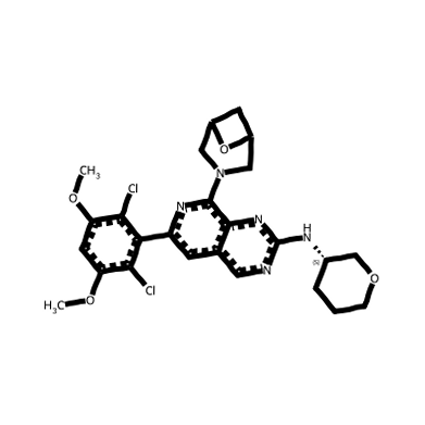 COc1cc(OC)c(Cl)c(-c2cc3cnc(N[C@H]4CCCOC4)nc3c(N3CC4CC(C3)O4)n2)c1Cl